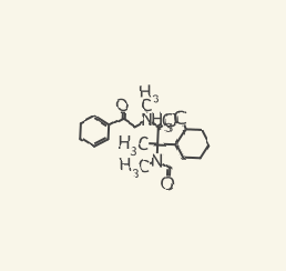 CC1CCCCC1C(C)(C(=O)N(C)CC(=O)C1=CCCC=C1)N(C)C=O